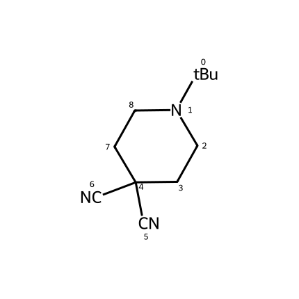 CC(C)(C)N1CCC(C#N)(C#N)CC1